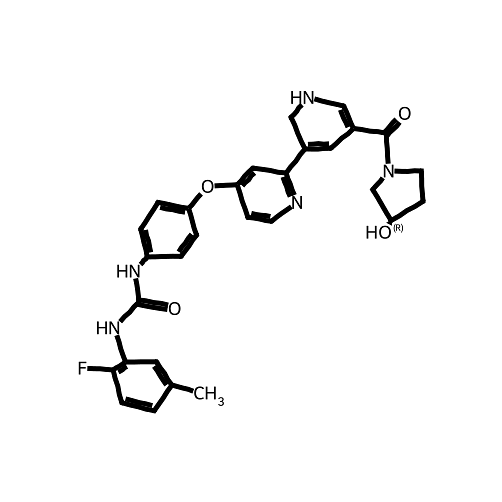 Cc1ccc(F)c(NC(=O)Nc2ccc(Oc3ccnc(C4=CC(C(=O)N5CC[C@@H](O)C5)=CNC4)c3)cc2)c1